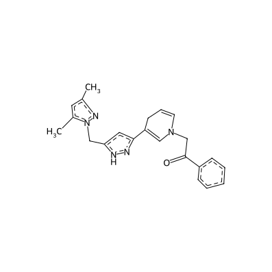 Cc1cc(C)n(Cc2cc(C3=CN(CC(=O)c4ccccc4)C=CC3)n[nH]2)n1